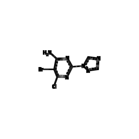 Nc1nc(-n2cncn2)nc(Cl)c1Br